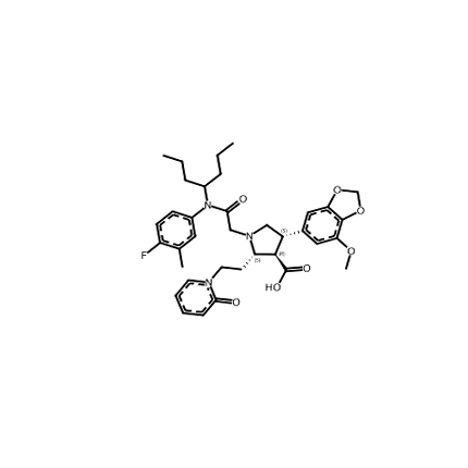 CCCC(CCC)N(C(=O)CN1C[C@H](c2cc(OC)c3c(c2)OCO3)[C@@H](C(=O)O)[C@@H]1CCn1ccccc1=O)c1ccc(F)c(C)c1